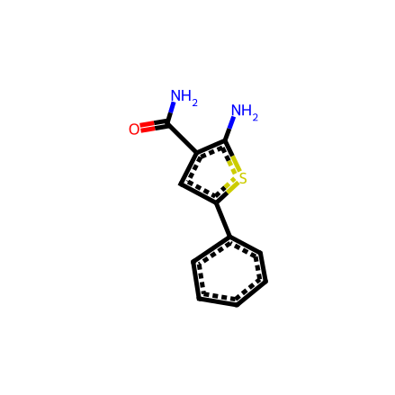 NC(=O)c1cc(-c2ccccc2)sc1N